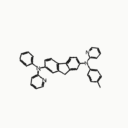 Cc1ccc(N(c2ccc3c(c2)Cc2cc(N(c4ccccc4)c4ccccn4)ccc2-3)c2ccccn2)cc1